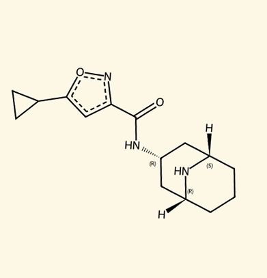 O=C(N[C@H]1C[C@H]2CCC[C@@H](C1)N2)c1cc(C2CC2)on1